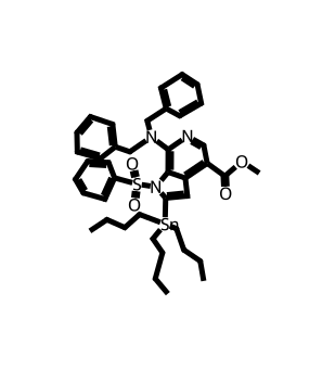 CCC[CH2][Sn]([CH2]CCC)([CH2]CCC)[c]1cc2c(C(=O)OC)cnc(N(Cc3ccccc3)Cc3ccccc3)c2n1S(=O)(=O)c1ccccc1